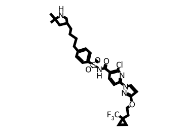 CC1(C)CC(CCCCc2ccc(S(=O)(=O)NC(=O)c3ccc(-n4ccc(OCCC5(C(F)(F)F)CC5)n4)nc3Cl)cc2)CN1